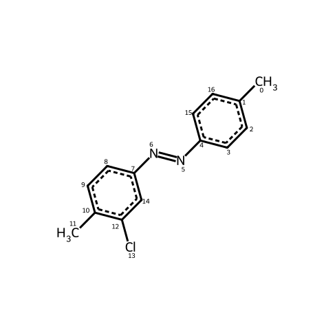 Cc1ccc(N=Nc2ccc(C)c(Cl)c2)cc1